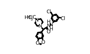 CN1CCN(C(C(=O)NNc2cc(Cl)cc(Cl)c2)c2ccc3c(c2)OCO3)CC1.Cl